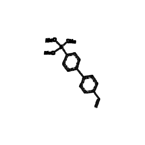 C=Cc1ccc(-c2ccc([Si](OC)(OC)OC)cc2)cc1